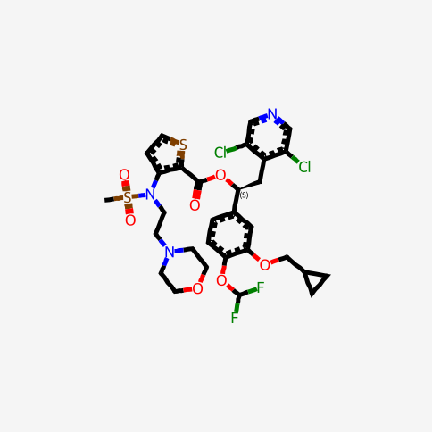 CS(=O)(=O)N(CCN1CCOCC1)c1ccsc1C(=O)O[C@@H](Cc1c(Cl)cncc1Cl)c1ccc(OC(F)F)c(OCC2CC2)c1